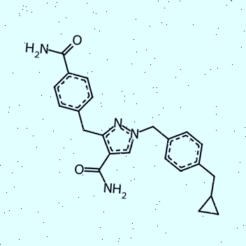 NC(=O)c1ccc(Cc2nn(Cc3ccc(CC4CC4)cc3)cc2C(N)=O)cc1